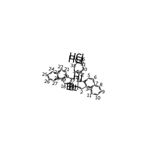 CCC1=Cc2c(ccc3ccccc23)[CH]1[Hf]1([CH]2C(CC)=Cc3c2ccc2ccccc32)[CH]2CCCC[CH]21.Cl.Cl